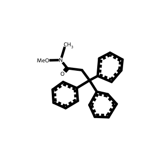 CON(C)C(=O)CC(c1ccccc1)(c1ccccc1)c1ccccc1